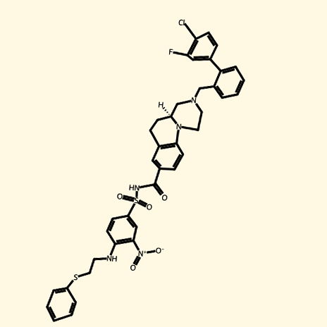 O=C(NS(=O)(=O)c1ccc(NCCSc2ccccc2)c([N+](=O)[O-])c1)c1ccc2c(c1)CC[C@H]1CN(Cc3ccccc3-c3ccc(Cl)c(F)c3)CCN21